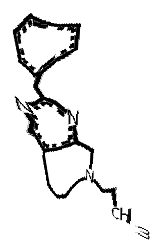 CCN1CCc2cnc(-c3ccccc3)nc2C1